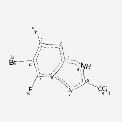 Fc1cc2[nH]c(C(Cl)(Cl)Cl)nc2c(F)c1Br